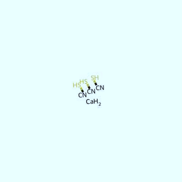 N#CS.N#CS.N#CS.[CaH2]